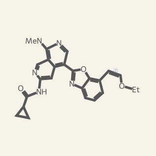 CCO/C=C\c1cccc2nc(-c3cnc(NC)c4cnc(NC(=O)C5CC5)cc34)oc12